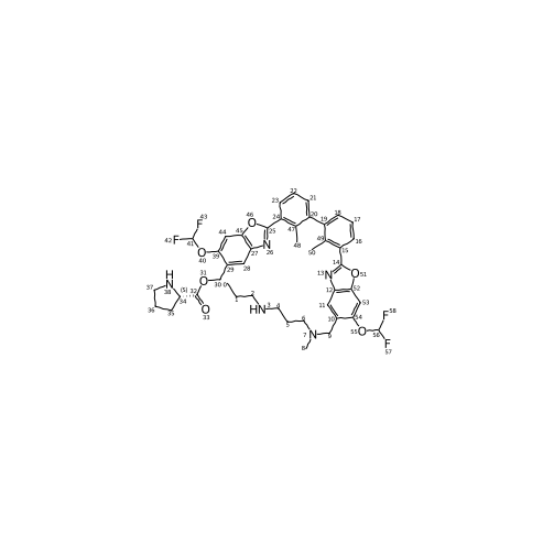 CCCNCCCN(C)Cc1cc2nc(-c3cccc(-c4cccc(-c5nc6cc(COC(=O)[C@@H]7CCCN7)c(OC(F)F)cc6o5)c4C)c3C)oc2cc1OC(F)F